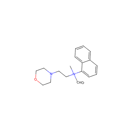 C[N+]([C]=O)(CCN1CCOCC1)c1cccc2ccccc12